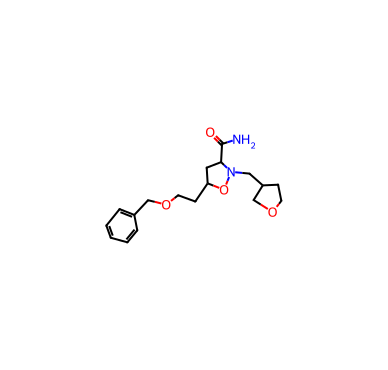 NC(=O)C1CC(CCOCc2ccccc2)ON1CC1CCOC1